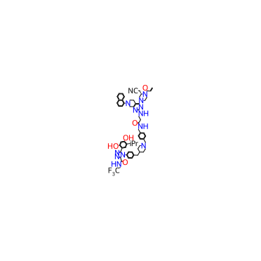 C=CC(=O)N1CCN(c2nc(NCCC(=O)NCc3ccc(CN4CCC(Cc5ccc(-n6c(C(=O)NCC(F)(F)F)nnc6-c6cc(C(C)C)c(O)cc6O)cc5)CC4)cc3)nc3c2CCN(c2cccc4ccccc24)C3)C[C@H]1CC#N